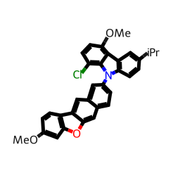 COc1ccc2c(c1)oc1cc3ccc(-n4c5ccc(C(C)C)cc5c5c(OC)ccc(Cl)c54)cc3cc12